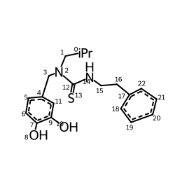 CC(C)CN(Cc1ccc(O)c(O)c1)C(=S)NCCc1ccccc1